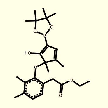 CCOC(=O)Cc1ccc(C)c(C)c1OC1(C)C(C)=CC(B2OC(C)(C)C(C)(C)O2)=C1O